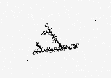 CCCCCC(CCCCC)CCCCOC(=O)CCCCCC(CCCCCCCC(=O)OCCC(CCCCC)CCCCC)OC(=O)CCCN1CCN(C)CC1